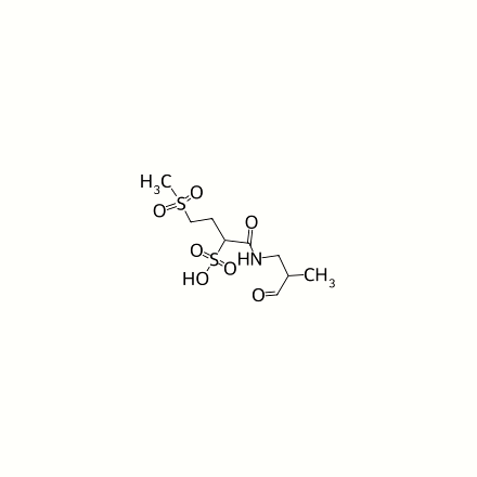 CC(C=O)CNC(=O)C(CCS(C)(=O)=O)S(=O)(=O)O